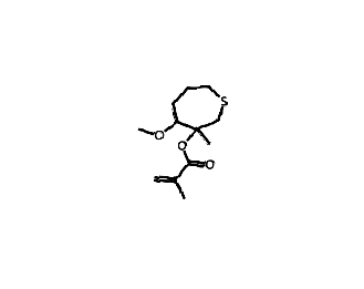 C=C(C)C(=O)OC1(C)CSCCCC1OC